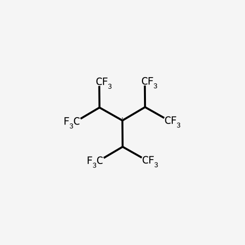 FC(F)(F)C([C](C(C(F)(F)F)C(F)(F)F)C(C(F)(F)F)C(F)(F)F)C(F)(F)F